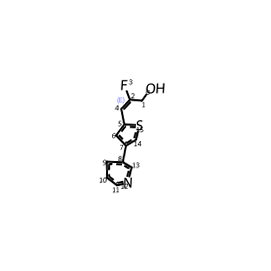 OC/C(F)=C\c1cc(-c2cccnc2)cs1